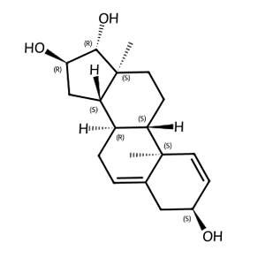 C[C@]12CC[C@H]3[C@@H](CC=C4C[C@H](O)C=C[C@@]43C)[C@@H]1C[C@@H](O)[C@@H]2O